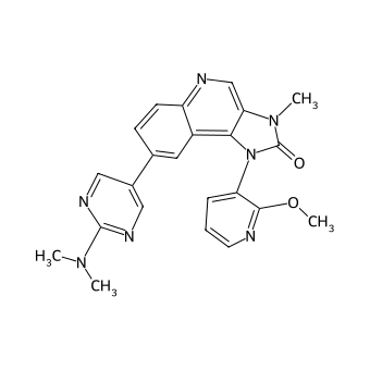 COc1ncccc1-n1c(=O)n(C)c2cnc3ccc(-c4cnc(N(C)C)nc4)cc3c21